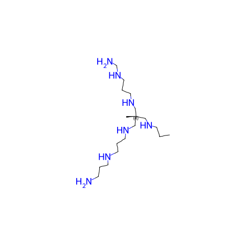 CCCNC[C@@](C)(CNCCCNCN)CNCCCNCCCN